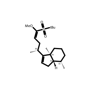 COC(=CC[C@@H](C)C1=CC[C@H]2[C@@H](C)CCC[C@]12C)S(=O)(=O)C(C)(C)C